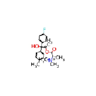 Cc1ccc(C(O)(c2ccc(F)cc2)[C@@H](C)OC(=O)[C@H](C)N(C)C)cc1